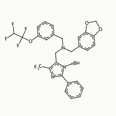 CCCCn1c(-c2ccccc2)nc(C(F)(F)F)c1CN(Cc1cccc(OC(F)(F)C(F)F)c1)Cc1ccc2c(c1)OCO2